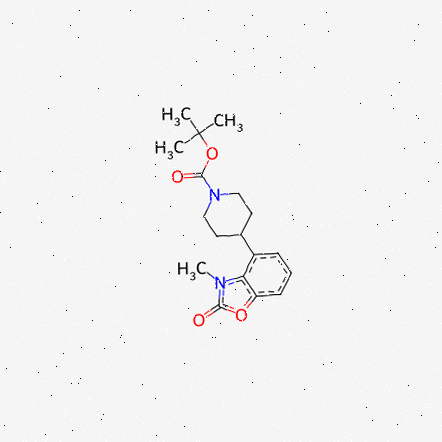 Cn1c(=O)oc2cccc(C3CCN(C(=O)OC(C)(C)C)CC3)c21